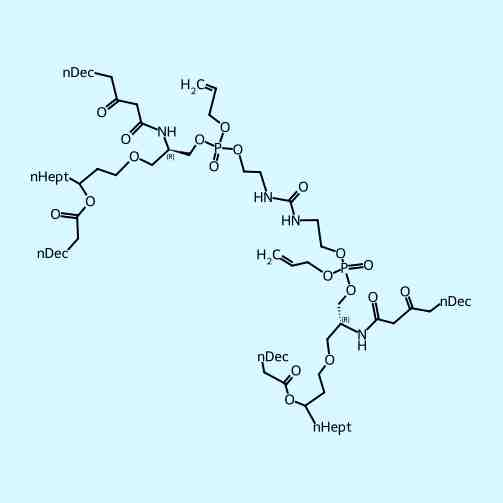 C=CCOP(=O)(OCCNC(=O)NCCOP(=O)(OCC=C)OC[C@@H](COCCC(CCCCCCC)OC(=O)CCCCCCCCCCC)NC(=O)CC(=O)CCCCCCCCCCC)OC[C@@H](COCCC(CCCCCCC)OC(=O)CCCCCCCCCCC)NC(=O)CC(=O)CCCCCCCCCCC